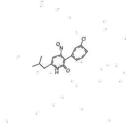 CC(C)Cc1cc(N=O)c(-c2cccc(Cl)c2)c(=O)[nH]1